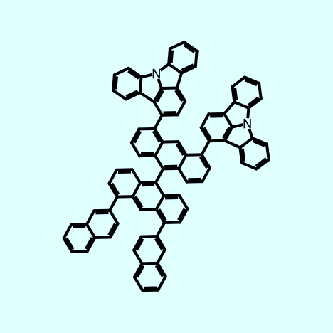 c1ccc2cc(-c3cccc4c(-c5c6cccc(-c7ccc8c9ccccc9n9c%10ccccc%10c7c89)c6cc6c(-c7ccc8c9ccccc9n9c%10ccccc%10c7c89)cccc56)c5cccc(-c6ccc7ccccc7c6)c5cc34)ccc2c1